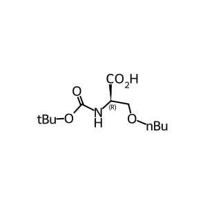 CCCCOC[C@@H](NC(=O)OC(C)(C)C)C(=O)O